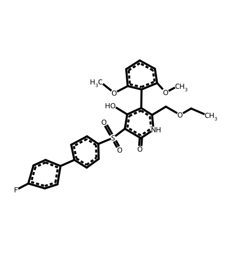 CCOCc1[nH]c(=O)c(S(=O)(=O)c2ccc(-c3ccc(F)cc3)cc2)c(O)c1-c1c(OC)cccc1OC